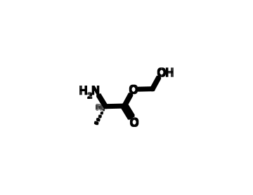 C[C@H](N)C(=O)OCO